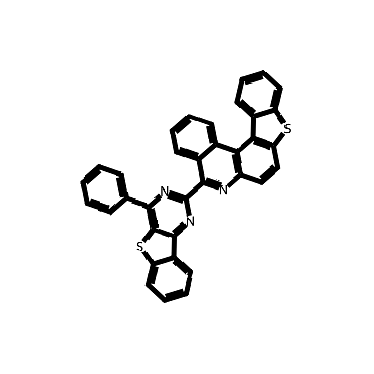 c1ccc(-c2nc(-c3nc4ccc5sc6ccccc6c5c4c4ccccc34)nc3c2sc2ccccc23)cc1